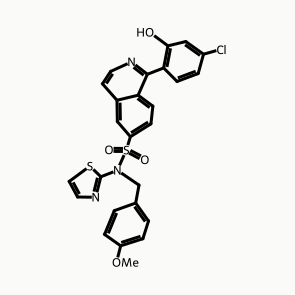 COc1ccc(CN(c2nccs2)S(=O)(=O)c2ccc3c(-c4ccc(Cl)cc4O)nccc3c2)cc1